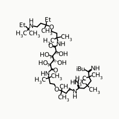 CCC(C)C(=N)C(C)(C)CC(C)(C)CC(=N)NCCC(C)(C)OCCC(C)(C)NC(=O)[C@H](O)[C@@H](O)[C@@H](O)[C@H](O)C(=O)NC(C)(C)CCOC(C)(CC)CCNC(C)(C)CC